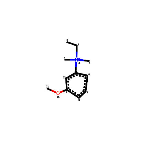 CC[N+](C)(C)c1cccc(OC)c1